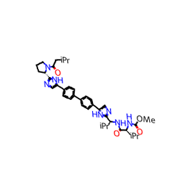 COC(=O)N[C@H](C(=O)N[C@H](c1ncc(-c2ccc(-c3ccc(-c4cnc([C@@H]5CCCN5C(=O)CC(C)C)[nH]4)cc3)cc2)[nH]1)C(C)C)C(C)C